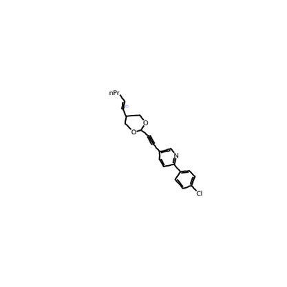 CCC/C=C/C1COC(C#Cc2ccc(-c3ccc(Cl)cc3)nc2)OC1